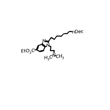 CCCCCCCCCCCCCCCCCc1nc2cc(C(=O)OCC)ccc2n1CCCN(C)C